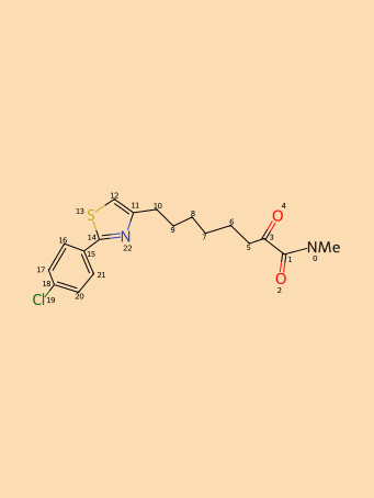 CNC(=O)C(=O)CCCCCCc1csc(-c2ccc(Cl)cc2)n1